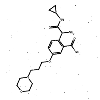 NC(=O)c1cc(OCCCN2CCOCC2)ccc1C(N)C(=O)NC1CC1